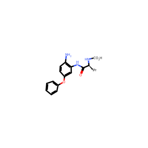 CC(C)[C@H](NC(=O)O)C(=O)Nc1cc(Oc2ccccc2)ccc1N